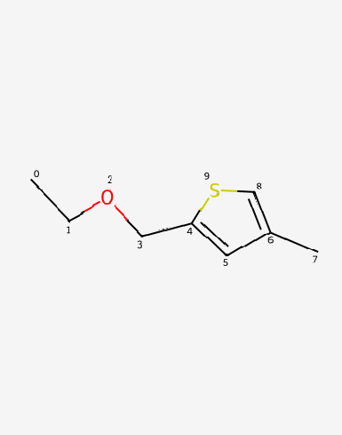 CCOCc1cc(C)cs1